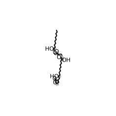 CCCCCCCCCC[C@@H](O)[C@H]1CC[C@H]([C@H]2CC[C@H]([C@@H](O)CCCCCCCC[C@@H](O)CC3=C[C@H](C)OC3=O)O2)O1